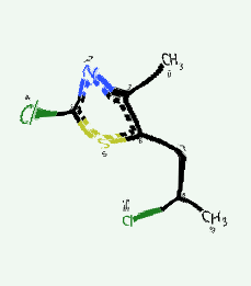 Cc1nc(Cl)sc1CC(C)Cl